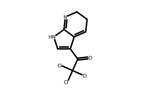 O=C(c1c[nH]c2c1=CCCN=2)C(Cl)(Cl)Cl